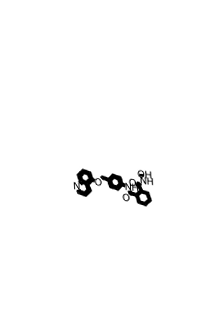 O=C(NO)C1CCCCC1C(=O)Nc1ccc(COc2cccc3ncccc23)cc1